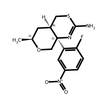 C[C@H]1C[C@H]2CSC(N)=N[C@@]2(c2cc([N+](=O)[O-])ccc2F)CO1